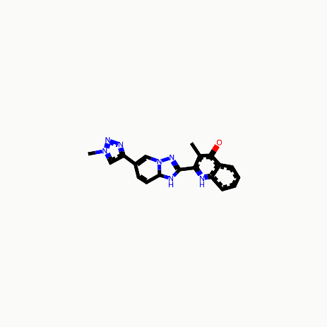 Cc1c(C2=NN3C=C(c4cn(C)nn4)C=CC3N2)[nH]c2ccccc2c1=O